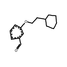 O=Cc1cccc(OCCC2CCCCC2)c1